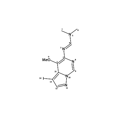 COc1c(N=CN(C)C)ncn2ncc(I)c12